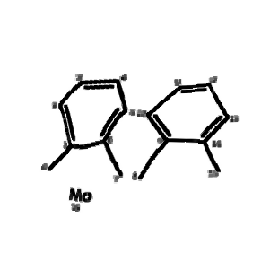 Cc1ccccc1C.Cc1ccccc1C.[Mo]